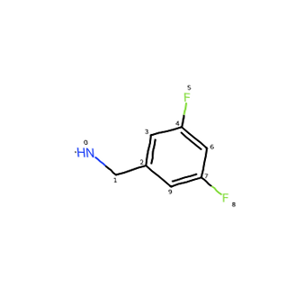 [NH]Cc1cc(F)cc(F)c1